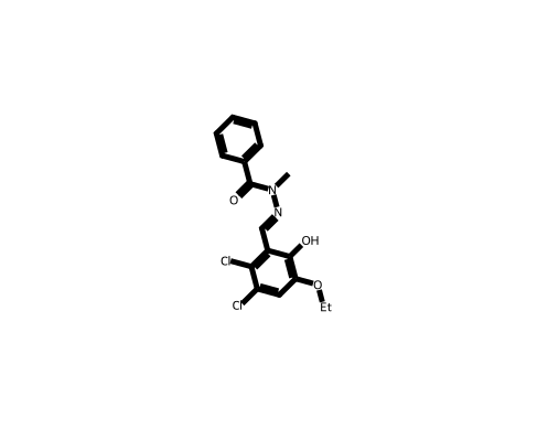 CCOc1cc(Cl)c(Cl)c(/C=N/N(C)C(=O)c2ccccc2)c1O